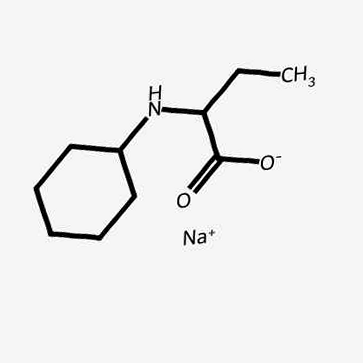 CCC(NC1CCCCC1)C(=O)[O-].[Na+]